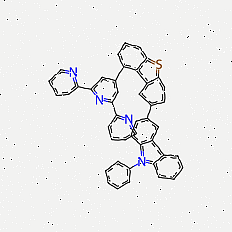 c1ccc(-n2c3ccccc3c3cc(-c4ccc5sc6cccc(-c7cc(-c8ccccn8)nc(-c8ccccn8)c7)c6c5c4)ccc32)cc1